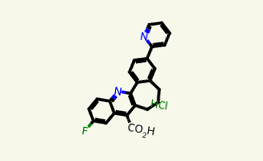 Cl.O=C(O)c1c2c(nc3ccc(F)cc13)-c1ccc(-c3ccccn3)cc1CCC2